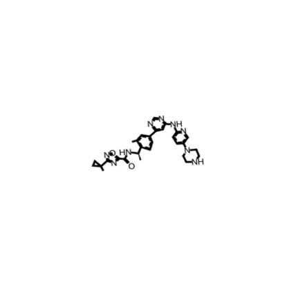 Cc1cc(-c2cc(Nc3ccc(N4CCNCC4)cn3)ncn2)ccc1[C@@H](C)NC(=O)c1nc(C2(C)CC2)no1